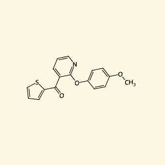 COc1ccc(Oc2ncccc2C(=O)c2cccs2)cc1